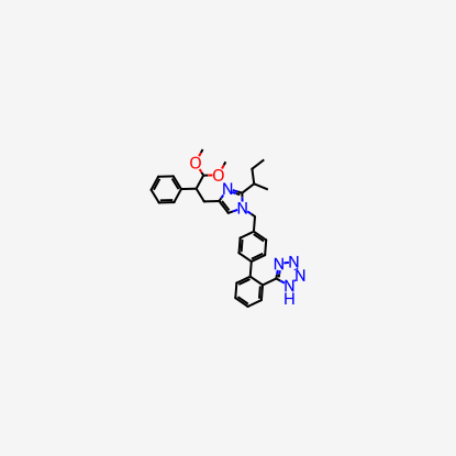 CCC(C)c1nc(CC(c2ccccc2)C(OC)OC)cn1Cc1ccc(-c2ccccc2-c2nnn[nH]2)cc1